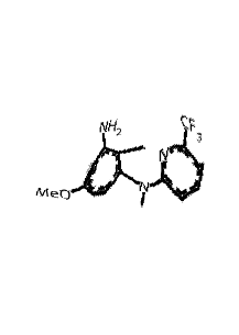 COc1cc(N)c(C)c(N(C)c2cccc(C(F)(F)F)n2)c1